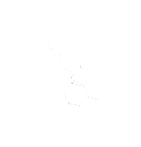 C#CCOc1noc2c1CNCC2C